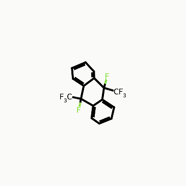 FC(F)(F)C1(F)c2ccccc2C(F)(C(F)(F)F)c2ccccc21